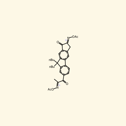 CCCCC1(CCCC)c2cc(C(=O)/C(C)=N/OC(C)=O)ccc2-c2cc3c(cc21)C(=O)/C(=N/OC(C)=O)C3